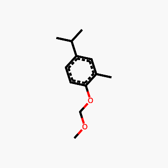 COCOc1ccc(C(C)C)cc1C